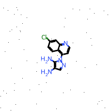 Nc1cnn(-c2ccnc3cc(Cl)ccc23)c1N